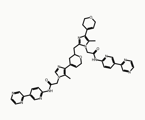 Cc1c(C2=CCOC(Cc3nc(C4=CCOCC4)c(C)n3CC(=O)Nc3ccc(-c4cnccn4)cn3)C2)ncn1CC(=O)Nc1ccc(-c2cnccn2)cn1